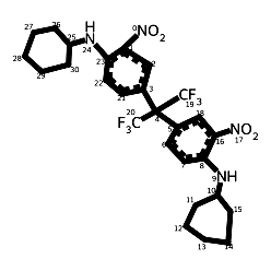 O=[N+]([O-])c1cc(C(c2ccc(NC3CCCCC3)c([N+](=O)[O-])c2)(C(F)(F)F)C(F)(F)F)ccc1NC1CCCCC1